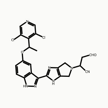 CC(Oc1ccc2[nH]nc(-c3nc4c([nH]3)CN(C(C#N)CC=O)C4)c2c1)c1c(Cl)cncc1Cl